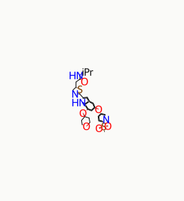 CC(C)NC(=O)CC1CN=C(c2cc3cc(Oc4ccc(S(C)(=O)=O)nc4)cc(OC4CCOCC4)c3[nH]2)S1